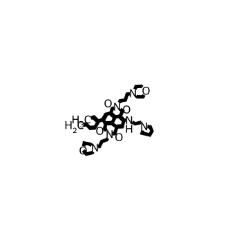 C=C/C=C\C(=C/C)c1cc2c3c(c(NCCN4CCCC4)cc4c3c1C(=O)N(CCCN1CCOCC1)C4=O)C(=O)N(CCCN1CCOCC1)C2=O